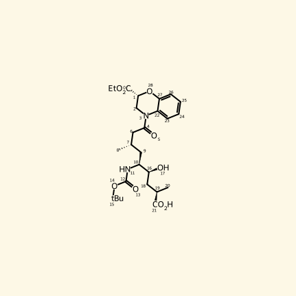 CCOC(=O)[C@H]1CN(C(=O)C[C@@H](C)C[C@H](NC(=O)OC(C)(C)C)[C@@H](O)C[C@@H](C)C(=O)O)c2ccccc2O1